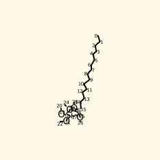 CCCCCCCCCCCCCCCC[Si](C[Si](OC)(OC)OC)(OC)OC